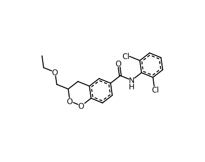 CCOCC1Cc2cc(C(=O)Nc3c(Cl)cccc3Cl)ccc2OO1